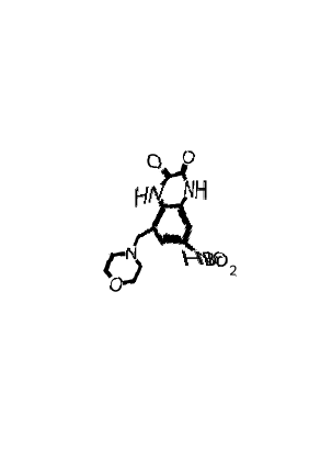 Br.O=c1[nH]c2cc([N+](=O)[O-])cc(CN3CCOCC3)c2[nH]c1=O